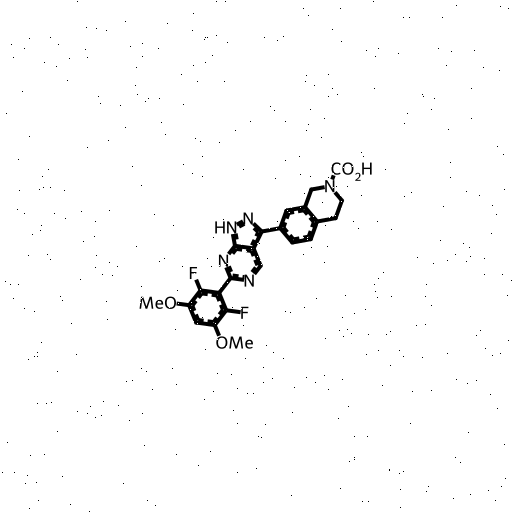 COc1cc(OC)c(F)c(-c2ncc3c(-c4ccc5c(c4)CN(C(=O)O)CC5)n[nH]c3n2)c1F